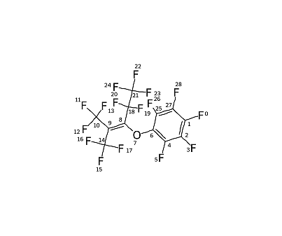 Fc1c(F)c(F)c(OC(=C(C(F)(F)F)C(F)(F)F)C(F)(F)C(F)(F)F)c(F)c1F